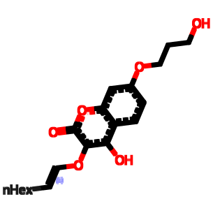 CCCCCC/C=C/Oc1c(O)c2ccc(OCCCO)cc2oc1=O